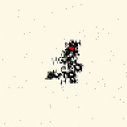 COc1c(CN2O[C@@H](CO)[C@H]([C@H](C)O)[C@H]2C(=O)N[C@H]2C[C@H]3C[C@@H]([C@@H]2C)C3(C)C)cccc1-c1cc(C(=O)NCCC2CCCN2C)cc(N(C)C)c1